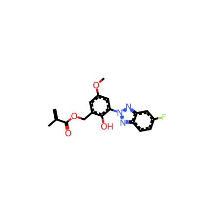 C=C(C)C(=O)OCc1cc(OC)cc(-n2nc3ccc(F)cc3n2)c1O